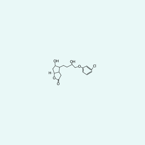 O=C1CC2C(CC[C@@H](O)COc3cccc(Cl)c3)C(O)C[C@@H]2O1